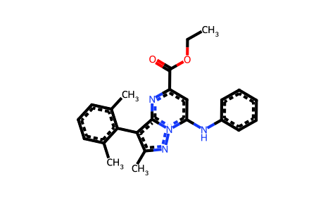 CCOC(=O)c1cc(Nc2ccccc2)n2nc(C)c(-c3c(C)cccc3C)c2n1